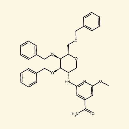 COc1cc(C(N)=O)cc(N[C@H]2CO[C@H](COCc3ccccc3)[C@H](OCc3ccccc3)[C@@H]2OCc2ccccc2)n1